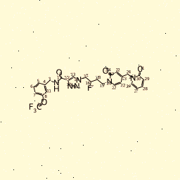 O=C(NCc1cccc(OC(F)(F)F)c1)c1cn(CC(F)CCn2ccc(Cn3ccccc3=O)cc2=O)nn1